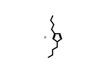 CCCC[C]1C=CC(CCCC)=C1.[Zr]